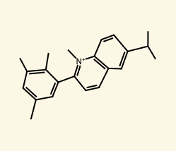 Cc1cc(C)c(C)c(-c2ccc3cc(C(C)C)ccc3[n+]2C)c1